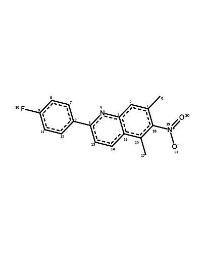 Cc1cc2nc(-c3ccc(F)cc3)ccc2c(C)c1[N+](=O)[O-]